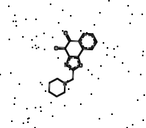 O=C1C(=O)c2nc(CN3CCCCC3)oc2-c2ccccc21